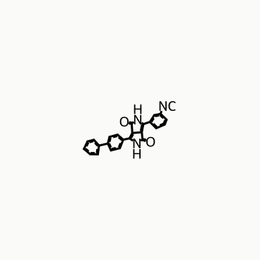 [C-]#[N+]c1cccc(C2=C3C(=O)NC(c4ccc(-c5ccccc5)cc4)=C3C(=O)N2)c1